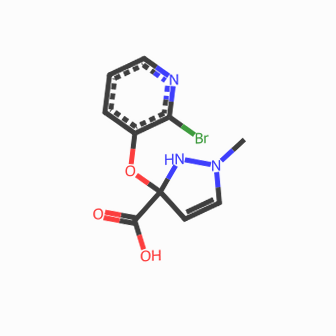 CN1C=CC(Oc2cccnc2Br)(C(=O)O)N1